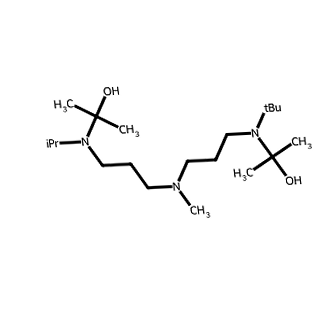 CC(C)N(CCCN(C)CCCN(C(C)(C)C)C(C)(C)O)C(C)(C)O